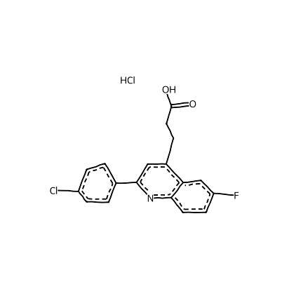 Cl.O=C(O)CCc1cc(-c2ccc(Cl)cc2)nc2ccc(F)cc12